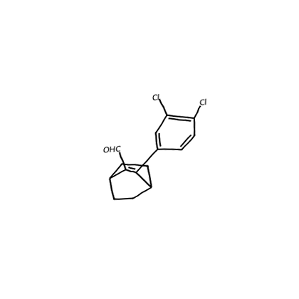 O=CC1=C(c2ccc(Cl)c(Cl)c2)C2CCC1CC2